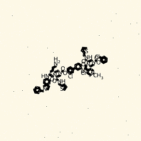 CN1CCC([C@H](C(=O)N2CCN(C(=O)Oc3ccccc3Cl)C[C@H]2C(=O)NCc2cccs2)N(C)C2CCCC(c3ccc(OC(=O)N4CCN(C(=O)[C@@H](CCCCN)NC5CCC6(CC5)CCN(Cc5ccccc5)C6)[C@H](C(=O)NCc5cccs5)C4)c(Cl)c3)C2)CC1